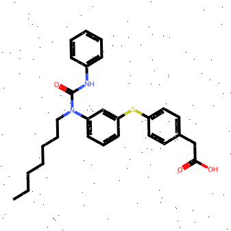 CCCCCCCN(C(=O)Nc1ccccc1)c1cccc(Sc2ccc(CC(=O)O)cc2)c1